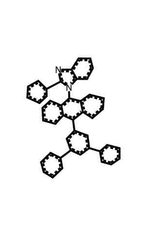 c1ccc(-c2cc(-c3ccccc3)cc(-c3c4ccccc4c(-n4c(-c5ccccc5)nc5ccccc54)c4ccccc34)c2)cc1